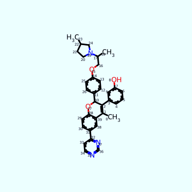 CC1=C(c2cccc(O)c2)C(c2ccc(OCC(C)N3CCC(C)C3)cc2)Oc2ccc(-c3ccncn3)cc21